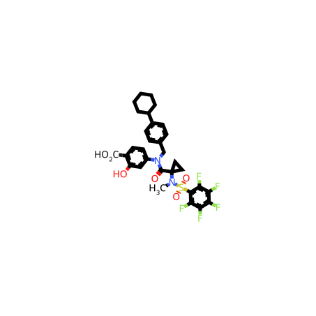 CN(C1(C(=O)N(Cc2ccc(C3CCCCC3)cc2)c2ccc(C(=O)O)c(O)c2)CC1)S(=O)(=O)c1c(F)c(F)c(F)c(F)c1F